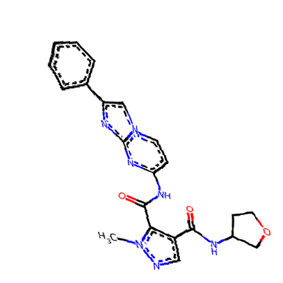 Cn1ncc(C(=O)NC2CCOC2)c1C(=O)Nc1ccn2cc(-c3ccccc3)nc2n1